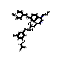 C=N/C=C(\C=C/CCC(=O)NCc1cc(F)cc(OCC(C)C)c1)c1ccc(OCC2CCN(C)CC2)cc1